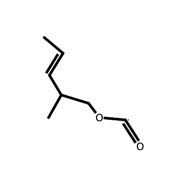 CC=CC(C)CO[C]=O